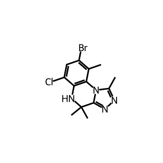 Cc1c(Br)cc(Cl)c2c1-n1c(C)nnc1C(C)(C)N2